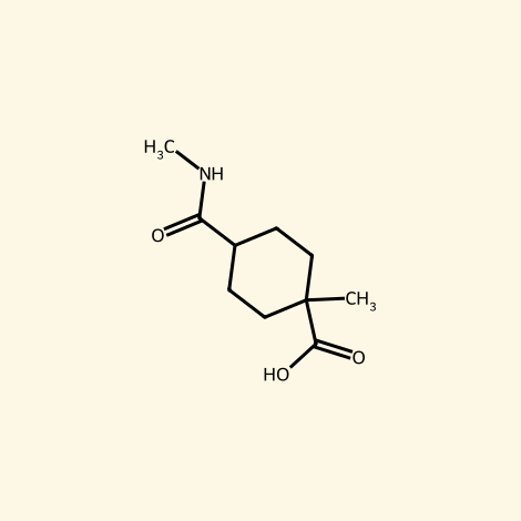 CNC(=O)C1CCC(C)(C(=O)O)CC1